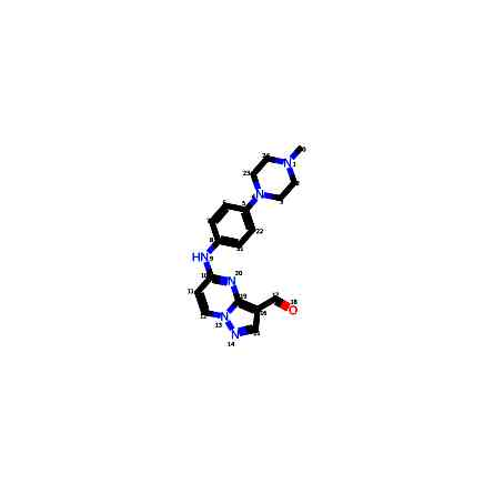 CN1CCN(c2ccc(Nc3ccn4ncc(C=O)c4n3)cc2)CC1